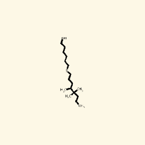 CCCC(C)(C)C(C)CCCSCCCCCCO